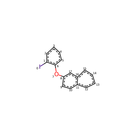 Ic1ccccc1Oc1ccc2ccccc2c1